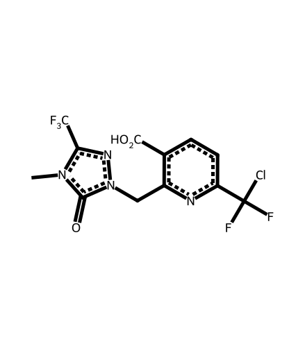 Cn1c(C(F)(F)F)nn(Cc2nc(C(F)(F)Cl)ccc2C(=O)O)c1=O